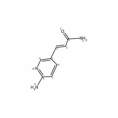 NC(=O)/C=C/c1ccc(N)nc1